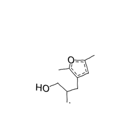 [CH2]C(CO)Cc1cc(C)oc1C